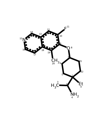 CCC1(C(C)N)CCC(Oc2c(F)cc3cnccc3c2C)CC1